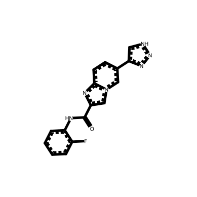 O=C(Nc1ccccc1F)c1cn2cc(-c3c[nH]nn3)ccc2n1